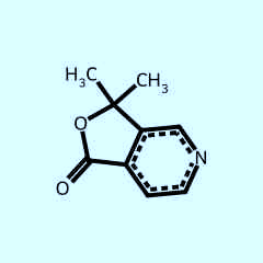 CC1(C)OC(=O)c2ccncc21